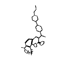 CCCC1CCC(C2CCC(C(C)C3Cc4ccc(C(C)O)c(F)c4OC3=O)CC2)CC1